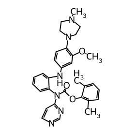 COc1cc(Nc2ccccc2N(C(=O)Oc2c(C)cccc2C)c2ccncn2)ccc1N1CCN(C)CC1